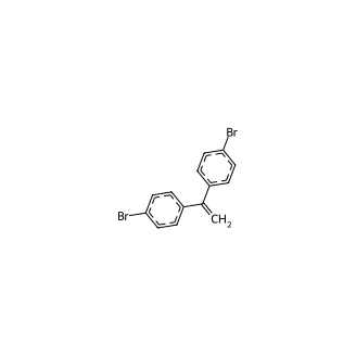 C=C(c1ccc(Br)cc1)c1ccc(Br)cc1